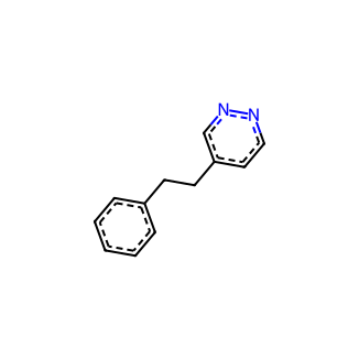 c1ccc(CCc2ccnnc2)cc1